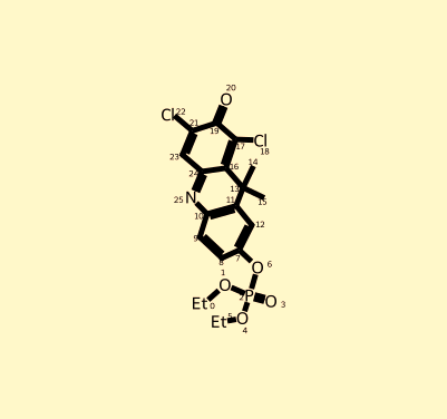 CCOP(=O)(OCC)Oc1ccc2c(c1)C(C)(C)C1=C(Cl)C(=O)C(Cl)=CC1=N2